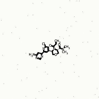 C=CC(=O)N1[C@H](C(=O)N(C)C)COC[C@H]1c1cc(Cl)nc(-c2cc(N)ncn2)c1